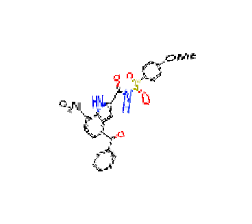 COc1ccc(S(=O)(=O)NC(=O)c2cc3c(C(=O)c4ccccc4)ccc([N+](=O)[O-])c3[nH]2)cc1